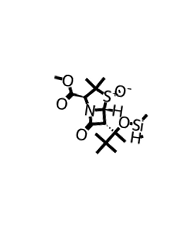 COC(=O)[C@@H]1N2C(=O)[C@@H](C(C)(O[SiH](C)C)C(C)(C)C)[C@H]2[S+]([O-])C1(C)C